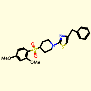 COc1ccc(S(=O)(=O)C2CCN(c3nc(Cc4ccccc4)cs3)CC2)c(OC)c1